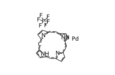 C1=Cc2cc3ccc(cc4nc(cc5ccc(cc1n2)[nH]5)C=C4)[nH]3.F[P-](F)(F)(F)(F)F.[Pd]